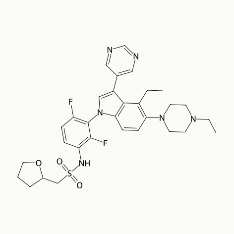 CCc1c(N2CCN(CC)CC2)ccc2c1c(-c1cncnc1)cn2-c1c(F)ccc(NS(=O)(=O)CC2CCCO2)c1F